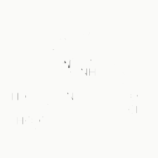 Cc1cc(C(=O)NC2(c3ccc(OC(F)(F)F)c(F)c3)CCOc3cccnc32)ncc1C(=O)O